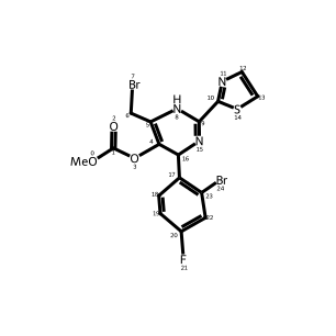 COC(=O)OC1=C(CBr)NC(c2nccs2)=NC1c1ccc(F)cc1Br